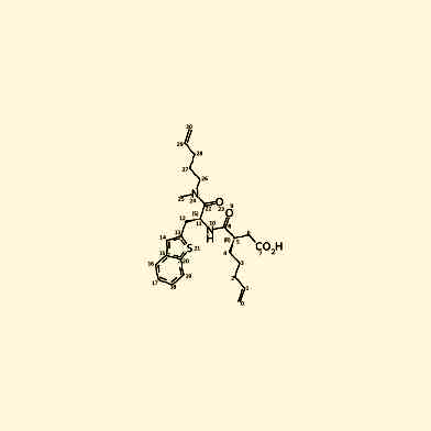 C=CCCC[C@H](CC(=O)O)C(=O)N[C@@H](Cc1cc2ccccc2s1)C(=O)N(C)CCCC=C